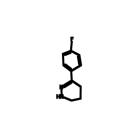 Fc1ccc(C2=NNCCC2)cc1